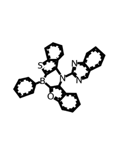 c1ccc(B2c3oc4ccccc4c3N(c3ncc4ccccc4n3)c3c2sc2ccccc32)cc1